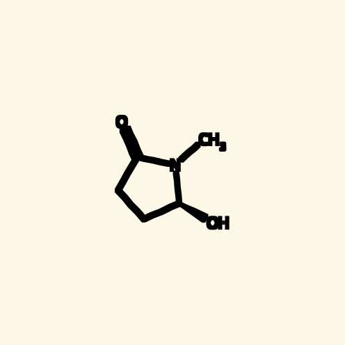 CN1C(=O)CC[C@@H]1O